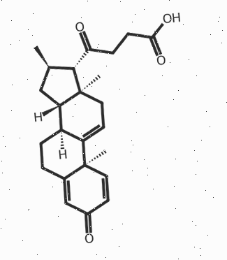 C[C@@H]1C[C@H]2[C@@H]3CCC4=CC(=O)C=C[C@]4(C)C3=CC[C@]2(C)[C@H]1C(=O)CCC(=O)O